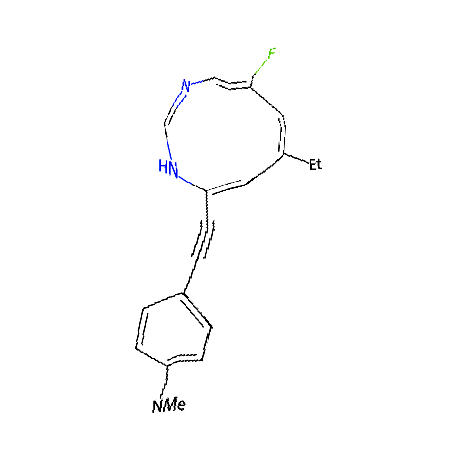 CCc1cc(F)cnc[nH]c(C#Cc2ccc(NC)cc2)c1